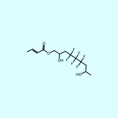 CC=CC(=O)OCC(O)CC(F)(F)C(F)(F)C(F)(F)CC(C)O